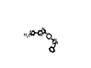 Cn1cc(-c2cnn3c(N4CCN(c5nnc(Cc6ccccc6)s5)CC4)cnc3c2)cn1